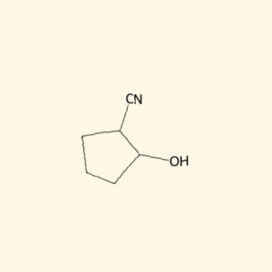 N#CC1CCCC1O